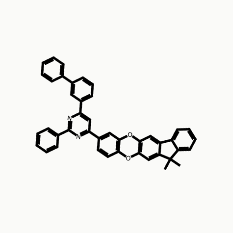 CC1(C)c2ccccc2-c2cc3c(cc21)Oc1ccc(-c2cc(-c4cccc(-c5ccccc5)c4)nc(-c4ccccc4)n2)cc1O3